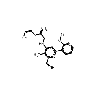 C=C(CNc1cc(-c2cccnc2OCC)nc(C=N)c1C)S/C=C\CCC